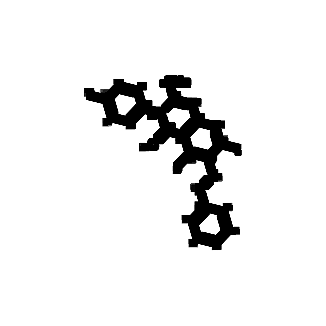 CSc1nc2nc(C)c(N=Nc3ccccc3)c(C)c2c(=O)n1-c1ccc(C)cc1